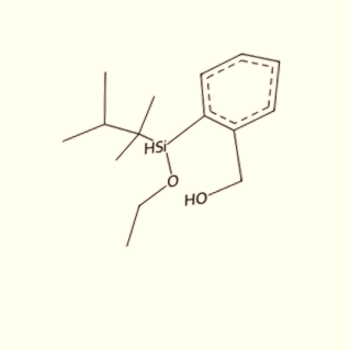 CCO[SiH](c1ccccc1CO)C(C)(C)C(C)C